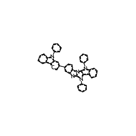 c1ccc(-n2c3ccccc3c3ccc(-c4ccc5c(c4)nc4n(-c6ccccc6)c6c7ccccc7n(-c7ccccc7)c6n54)cc32)cc1